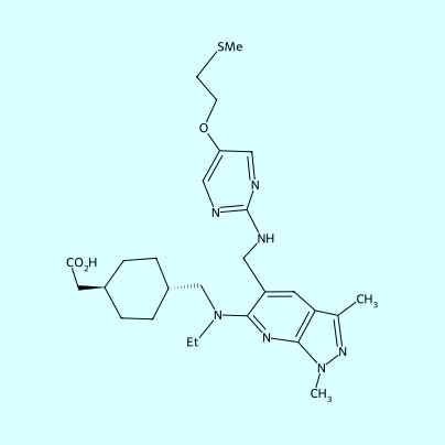 CCN(C[C@H]1CC[C@H](CC(=O)O)CC1)c1nc2c(cc1CNc1ncc(OCCSC)cn1)c(C)nn2C